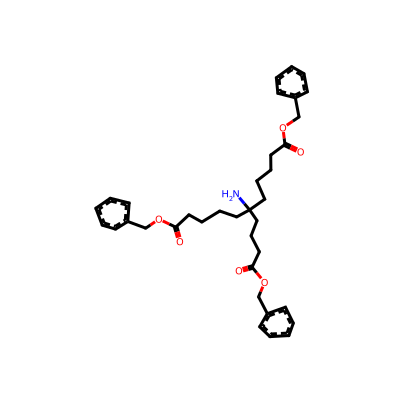 NC(CCCCC(=O)OCc1ccccc1)(CCCCC(=O)OCc1ccccc1)CCCC(=O)OCc1ccccc1